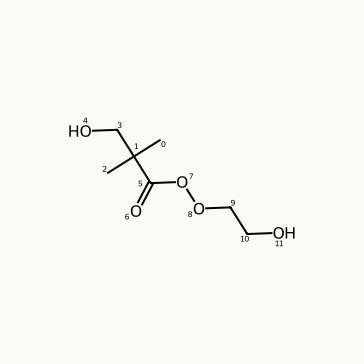 CC(C)(CO)C(=O)OOCCO